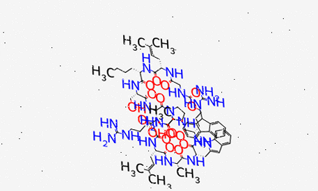 CCCC[C@H](NC(=O)[C@H](CC=C(C)C)NC(=O)CNC(=O)OCC1c2ccccc2-c2ccccc21)C(=O)N[C@@H](CO)C(=O)N[C@@H](CC(=O)O)C(=O)N1CCCC1C(=O)N[C@@H](CCCNC(=N)N)C(=O)N[C@@H](CC=C(C)C)C(=O)N[C@@H](C)C(=O)N[C@@H](Cc1cc2ccccc2[nH]1)C(=O)N[C@@H](CCCNC(=N)N)C(=O)N[C@@H](C)C(N)=O